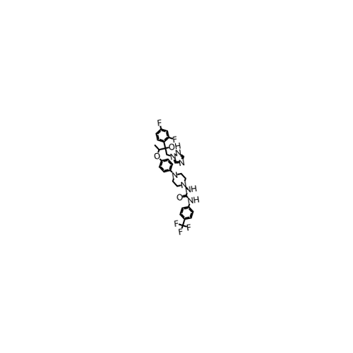 CC(Oc1ccc(N2CCN(NC(=O)Nc3ccc(C(F)(F)F)cc3)CC2)cc1)C(O)(Cn1cncn1)c1ccc(F)cc1F